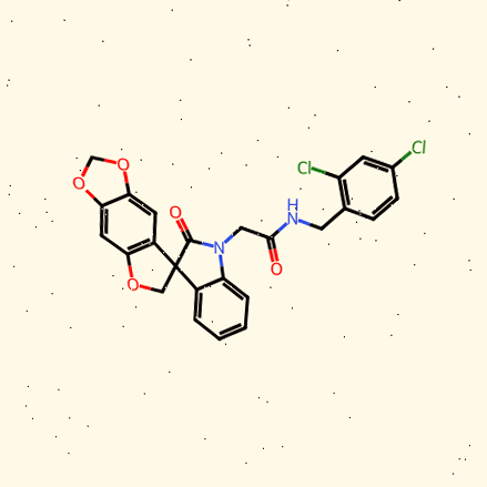 O=C(CN1C(=O)C2(COc3cc4c(cc32)OCO4)c2ccccc21)NCc1ccc(Cl)cc1Cl